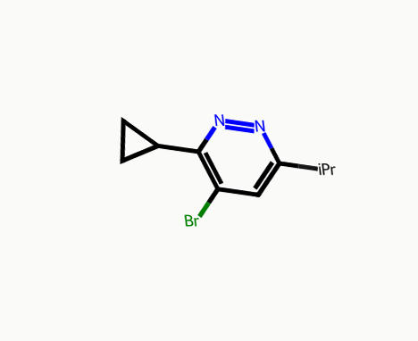 CC(C)c1cc(Br)c(C2CC2)nn1